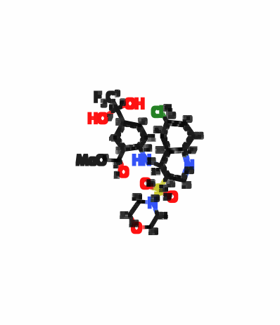 COC(=O)c1cc(C(O)(O)C(F)(F)F)ccc1Nc1c(S(=O)(=O)N2CCOCC2)cnc2ccc(Cl)cc12